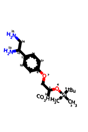 CC(C)(C)[Si](C)(C)OC(COc1ccc(C(N)CN)cc1)C(=O)O